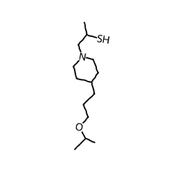 CC(S)CN1CCC(CCCOC(C)C)CC1